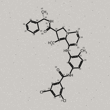 CC1=C2C(Nc3cc(NC(=O)c4cc(Cl)cc(Cl)c4)ccc3C)=NC=NN2CC1C(=O)N[C@@H](C)c1ccccc1